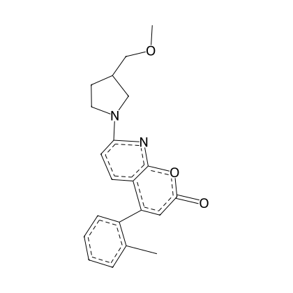 COCC1CCN(c2ccc3c(-c4ccccc4C)cc(=O)oc3n2)C1